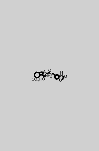 O=C1COc2ccc(CNC(=O)c3nc4sc5c(c4c(=O)[nH]3)C(C(=O)O)CCCC5)cc2N1